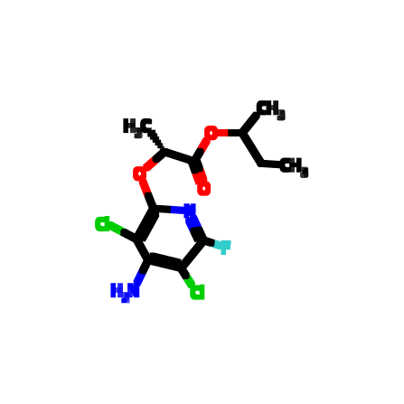 CCC(C)OC(=O)[C@@H](C)Oc1nc(F)c(Cl)c(N)c1Cl